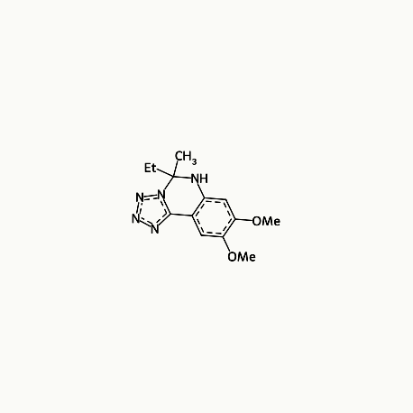 CCC1(C)Nc2cc(OC)c(OC)cc2-c2nnnn21